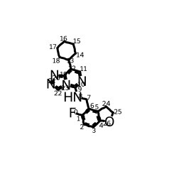 Fc1ccc2c(c1CNc1ncc(C3CCCCC3)c3nncn13)CCO2